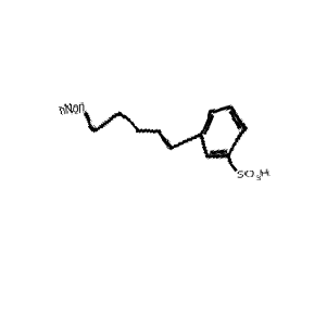 CCCCCCCCCCCCCCc1cccc(S(=O)(=O)O)c1